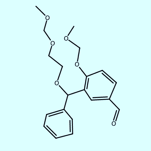 COCOCCOC(c1ccccc1)c1cc(C=O)ccc1OCOC